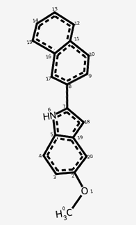 COc1ccc2[nH]c(-c3ccc4ccccc4c3)cc2c1